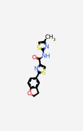 Cc1csc(NC(=O)c2csc(-c3ccc4c(c3)CCO4)n2)n1